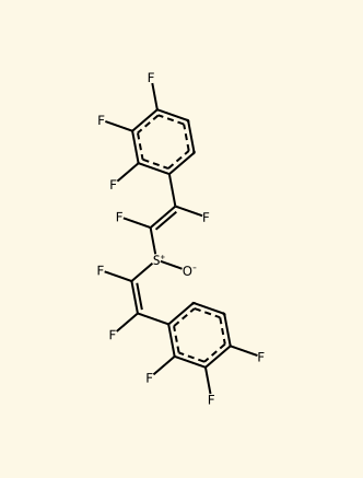 [O-][S+](C(F)=C(F)c1ccc(F)c(F)c1F)C(F)=C(F)c1ccc(F)c(F)c1F